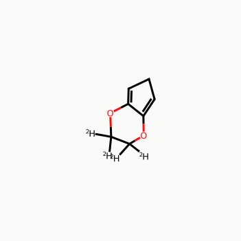 [2H]C1([2H])OC2=CCC=C2OC1([2H])[2H]